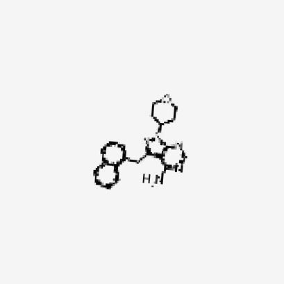 Nc1ncnc2c1c(Cc1cccc3ccccc13)nn2C1CCOCC1